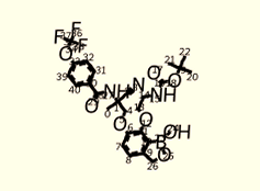 CC(C#N)(COc1ccc2c(c1OCCNC(=O)OC(C)(C)C)B(O)OC2)NC(=O)c1ccc(OC(F)(F)F)cc1